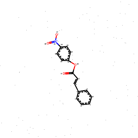 O=C(C=Cc1ccccc1)Oc1ccc([N+](=O)[O-])cc1